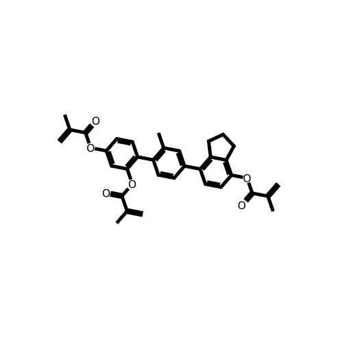 C=C(C)C(=O)Oc1ccc(-c2ccc(-c3ccc(OC(=O)C(=C)C)c4c3CCC4)cc2C)c(OC(=O)C(=C)C)c1